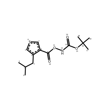 CC(C)Cc1cscc1C(=O)ONC(=O)OC(C)(C)C